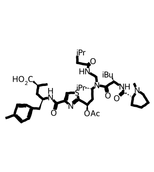 CCC(C)[C@H](NC(=O)[C@H]1CCCCN1C)C(=O)N(CNC(=O)CC(C)C)[C@H](C[C@@H](OC(C)=O)c1nc(C(=O)N[C@@H](Cc2ccc(C)cc2)C[C@H](C)C(=O)O)cs1)C(C)C